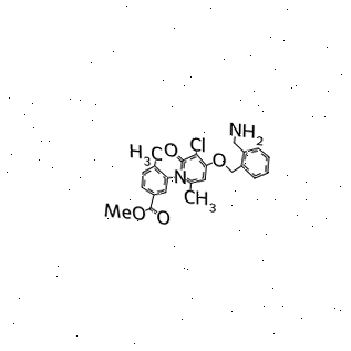 COC(=O)c1ccc(C)c(-n2c(C)cc(OCc3ccccc3CN)c(Cl)c2=O)c1